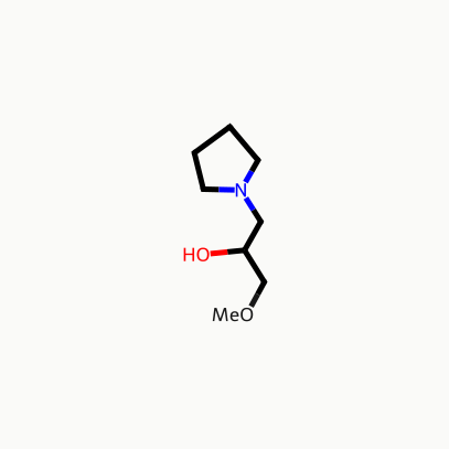 COCC(O)CN1CCCC1